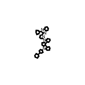 c1ccc(-c2ccc(-n3c4ccccc4c4c5c6ccccc6n(-c6cccc(-c7nc8ccccc8nc7-c7ccccc7)n6)c5ccc43)cc2)cc1